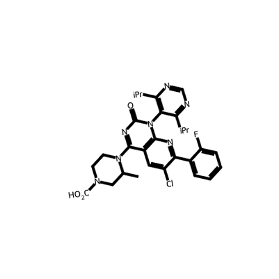 CC(C)c1ncnc(C(C)C)c1-n1c(=O)nc(N2CCN(C(=O)O)CC2C)c2cc(Cl)c(-c3ccccc3F)nc21